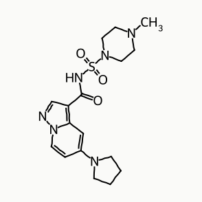 CN1CCN(S(=O)(=O)NC(=O)c2cnn3ccc(N4CCCC4)cc23)CC1